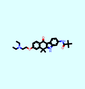 CCN(CC)CCOc1ccc2c(c1)C(C)(C)c1[nH]c3cc(NC(=O)C(C)(C)C)ccc3c1C2=O